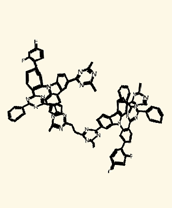 Cc1nc(C)nc(-c2ccc3c(c2)c2cc(-c4nc(C)nc(CCc5nc(C)nc(-c6ccc7c8ccc(-c9nc(C)nc(C)n9)cc8n(-c8cc(-c9ccc(F)cc9F)ccc8-c8nc(-c9ccccc9)nc(-c9ccccc9)n8)c7c6)n5)n4)ccc2n3-c2cc(-c3ccc(F)cc3F)ccc2-c2nc(-c3ccccc3)nc(-c3ccccc3)n2)n1